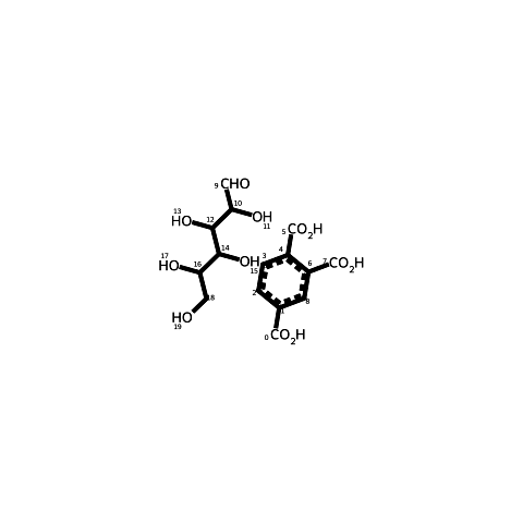 O=C(O)c1ccc(C(=O)O)c(C(=O)O)c1.O=CC(O)C(O)C(O)C(O)CO